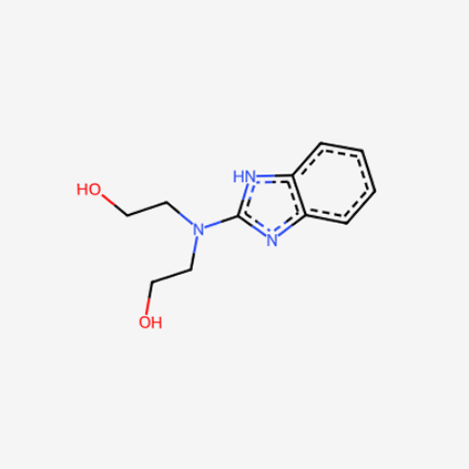 OCCN(CCO)c1nc2ccccc2[nH]1